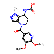 COc1cc(C(=O)N2CCC(NC(=O)O)c3c2cnn3C)cnc1OC